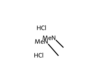 CNC.CNC.Cl.Cl